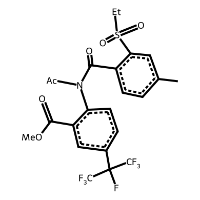 CCS(=O)(=O)c1cc(C)ccc1C(=O)N(C(C)=O)c1ccc(C(F)(C(F)(F)F)C(F)(F)F)cc1C(=O)OC